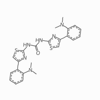 CN(C)c1ccccc1-c1csc(NC(=O)Nc2nc(-c3ccccc3N(C)C)cs2)n1